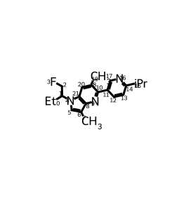 CCC(CF)n1cc(C)c2nc(-c3ccc(C(C)C)nc3)c(C)cc21